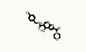 O=C(c1cc2c(S)c(C(=S)NCc3ccc(Cl)cc3)cnc2s1)N1CCOCC1